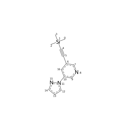 C[Si](C)(C)C#Cc1cncc(-n2cccn2)c1